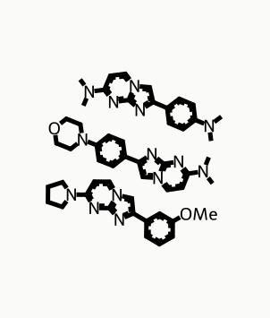 CN(C)c1ccc(-c2cn3ccc(N(C)C)nc3n2)cc1.CN(C)c1ccn2cc(-c3ccc(N4CCOCC4)cc3)nc2n1.COc1cccc(-c2cn3ccc(N4CCCC4)nc3n2)c1